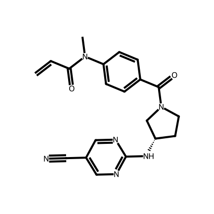 C=CC(=O)N(C)c1ccc(C(=O)N2CC[C@H](Nc3ncc(C#N)cn3)C2)cc1